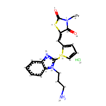 CC(C)N1C(=O)SC(=CC2=CC=C[SH]2c2nc3ccccc3n2CCCN)C1=O.Cl